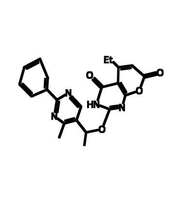 CCc1cc(=O)oc2nc(OC(C)c3cnc(-c4ccccc4)nc3C)[nH]c(=O)c12